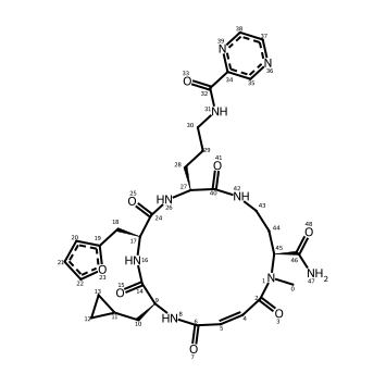 CN1C(=O)/C=C\C(=O)N[C@@H](CC2CC2)C(=O)N[C@@H](Cc2ccco2)C(=O)N[C@@H](CCCNC(=O)c2cnccn2)C(=O)NCC[C@H]1C(N)=O